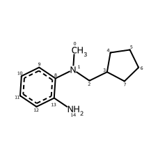 CN(CC1CCCC1)c1ccccc1N